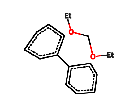 CCOCOCC.c1ccc(-c2ccccc2)cc1